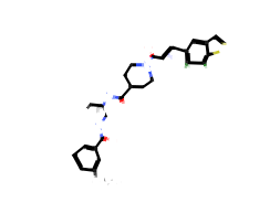 COc1cccc(C(=O)NC[C@@H](CC(=O)O)NC(=O)C2CCN(C(=O)/C=C/c3cc4ccsc4c(Cl)c3Cl)CC2)c1